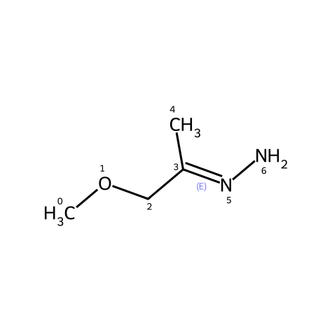 COC/C(C)=N/N